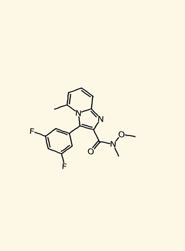 CON(C)C(=O)c1nc2cccc(C)n2c1-c1cc(F)cc(F)c1